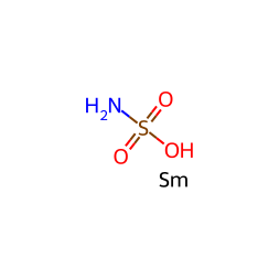 NS(=O)(=O)O.[Sm]